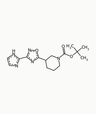 CC(C)(C)OC(=O)N1CCCC(c2nc(-c3ncc[nH]3)no2)C1